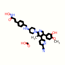 COc1ccc(-c2cnc(N3CCC(NCc4ccc(/C=C/C(=O)NO)cc4)CC3)c(C)c2-c2ccc(C#N)nc2)cc1O.O=CO